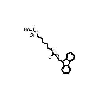 O=C(NCCCCCOP(=O)(O)O)OCC1c2ccccc2-c2ccccc21